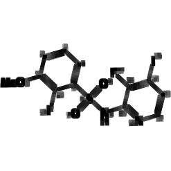 COc1cccc(S(=O)(=O)Nc2nccc(I)c2F)c1F